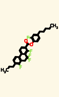 CCCCCc1ccc(OC(=O)c2ccc3c(c2F)C(F)(F)Cc2c-3ccc(CCC)c2F)c(F)c1